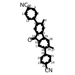 Cc1cc2c(cc1-c1ccc(C#N)cc1)C(=O)c1cc(-c3ccc(C#N)cc3)c(C)cc1-2